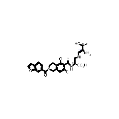 C[C@H](O)/C(N)=C/NC[C@H](NC(=O)c1c(Cl)cc2c(c1Cl)CCN(C(=O)c1ccc3ccoc3c1)C2)C(=O)O